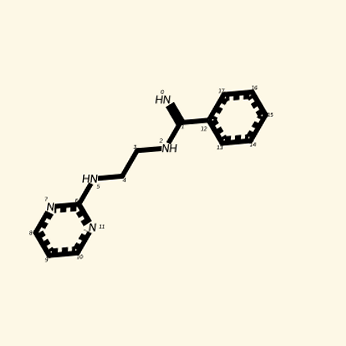 N=C(NCCNc1ncccn1)c1ccccc1